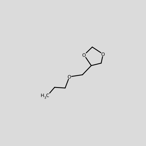 CCCOCC1COCO1